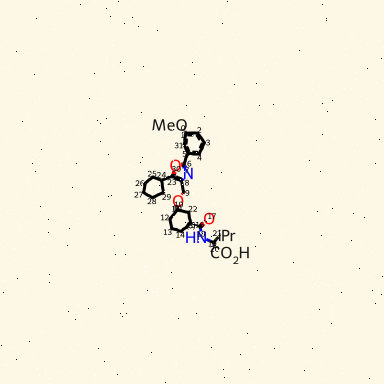 COc1cccc(-c2nc(CO[C@@H]3CCC[C@H](C(=O)NC(C(=O)O)C(C)C)C3)c(C3CCCCC3)o2)c1